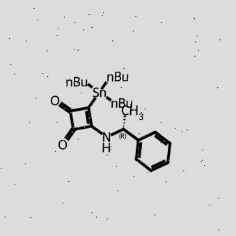 CCC[CH2][Sn]([CH2]CCC)([CH2]CCC)[c]1c(N[C@H](C)c2ccccc2)c(=O)c1=O